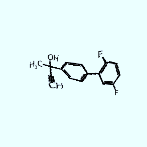 C#CC(C)(O)c1ccc(-c2cc(F)ccc2F)cc1